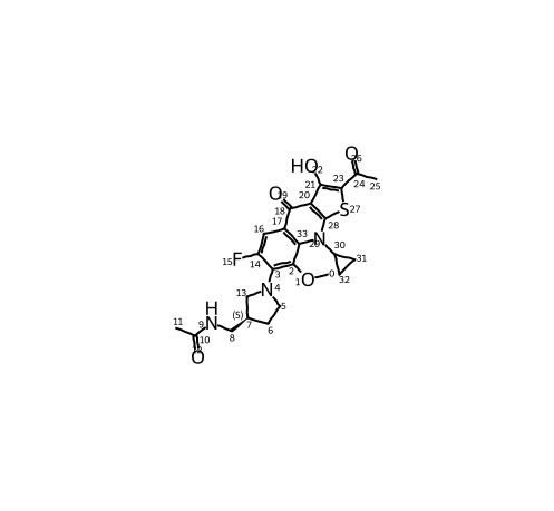 COc1c(N2CC[C@@H](CNC(C)=O)C2)c(F)cc2c(=O)c3c(O)c(C(C)=O)sc3n(C3CC3)c12